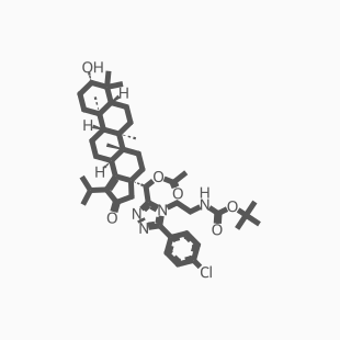 CC(=O)OC(c1nnc(-c2ccc(Cl)cc2)n1CCNC(=O)OC(C)(C)C)[C@@]12CC[C@]3(C)[C@H](CC[C@@H]4[C@@]5(C)CC[C@H](O)C(C)(C)[C@@H]5CC[C@]43C)C1=C(C(C)C)C(=O)C2